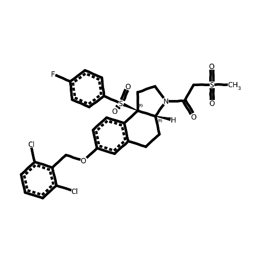 CS(=O)(=O)CC(=O)N1CC[C@@]2(S(=O)(=O)c3ccc(F)cc3)c3ccc(OCc4c(Cl)cccc4Cl)cc3CC[C@@H]12